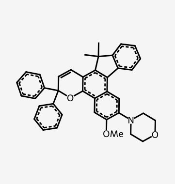 COc1cc2c3c(c4c(c2cc1N1CCOCC1)-c1ccccc1C4(C)C)C=CC(c1ccccc1)(c1ccccc1)O3